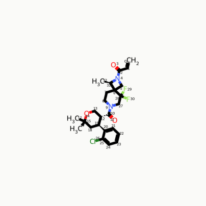 C=CC(=O)N1CC2(CCN(C(=O)[C@H]3COC(C)(C)C[C@@H]3c3ccccc3Cl)CC2(F)F)[C@H]1C